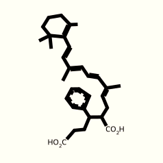 CC(C=CC1=C(C)CCCC1(C)C)=CC=CC(C)=CCC(C(=O)O)C(CCC(=O)O)c1ccccc1